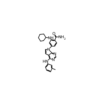 Cc1cccc(Nc2ncnc3c2ccn3-c2ccc(C(N)=O)c(NC3CCCCC3)c2)c1